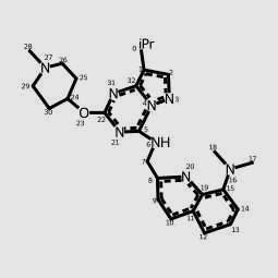 CC(C)c1cnn2c(NCc3ccc4cccc(N(C)C)c4n3)nc(OC3CCN(C)CC3)nc12